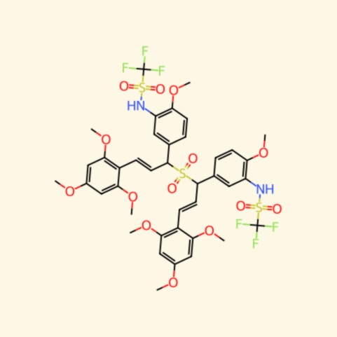 COc1cc(OC)c(C=CC(c2ccc(OC)c(NS(=O)(=O)C(F)(F)F)c2)S(=O)(=O)C(C=Cc2c(OC)cc(OC)cc2OC)c2ccc(OC)c(NS(=O)(=O)C(F)(F)F)c2)c(OC)c1